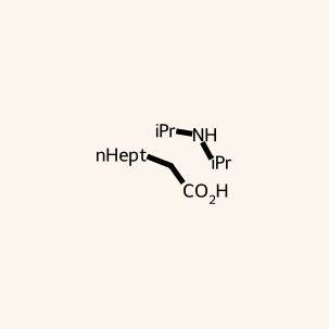 CC(C)NC(C)C.CCCCCCCCC(=O)O